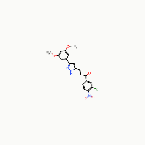 COc1cc(OC)cc(-c2cc(/C=C/C(=O)c3ccc([N+](=O)[O-])c(Cl)c3)[nH]n2)c1